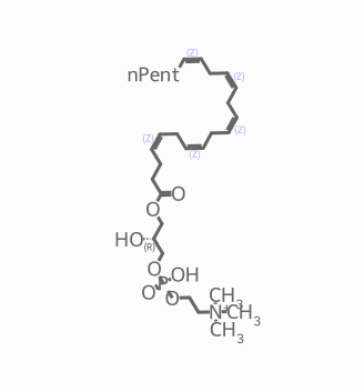 CCCCC/C=C\C/C=C\C/C=C\C/C=C\C/C=C\CCC(=O)OC[C@@H](O)COP(=O)(O)OCC[N+](C)(C)C